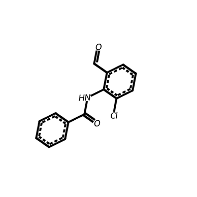 O=Cc1cccc(Cl)c1NC(=O)c1ccccc1